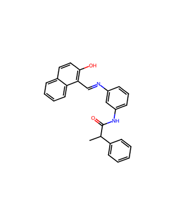 CC(C(=O)Nc1cccc(N=Cc2c(O)ccc3ccccc23)c1)c1ccccc1